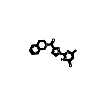 Cc1cc(=O)[nH]c(-n2ccc(C(=O)N3CCc4cc#ccc4C3)n2)n1